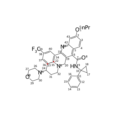 CCCOc1ccc2c(C(=O)NC3(c4ccccc4)CC3)c(CN3CCC(N4CCOCC4)CC3)c(-c3cccc(C(F)(F)F)c3)nc2c1